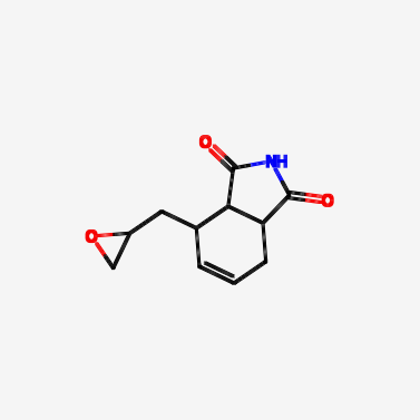 O=C1NC(=O)C2C(CC3CO3)C=CCC12